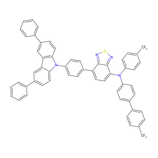 FC(F)(F)c1ccc(-c2ccc(N(c3ccc(C(F)(F)F)cc3)c3ccc(-c4ccc(-n5c6ccc(-c7ccccc7)cc6c6cc(-c7ccccc7)ccc65)cc4)c4nsnc34)cc2)cc1